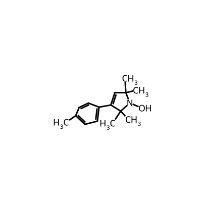 Cc1ccc(C2=CC(C)(C)N(O)C2(C)C)cc1